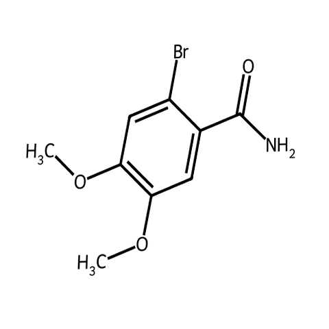 COc1cc(Br)c(C(N)=O)cc1OC